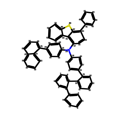 c1ccc(-c2ccccc2-c2ccccc2-c2ccc(N(c3ccc(-c4cccc5ccccc45)cc3)c3ccc(-c4ccccc4)c4sc5ccccc5c34)cc2)cc1